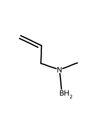 BN(C)CC=C